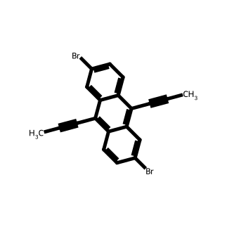 CC#Cc1c2ccc(Br)cc2c(C#CC)c2ccc(Br)cc12